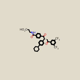 O=C(O)CCNC(=O)c1ccc(C(=O)[C@H](CC(=O)c2cc(C(F)(F)F)cc(C(F)(F)F)c2)c2ccc(C3CCCCC3)cc2)cc1